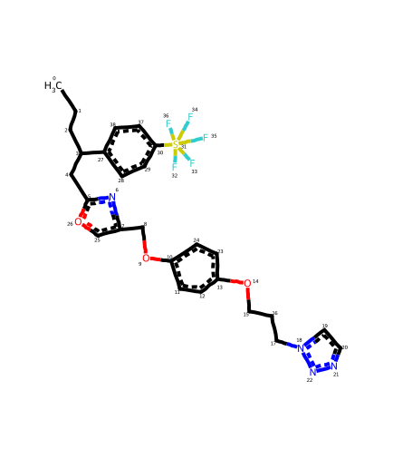 CCCC(Cc1nc(COc2ccc(OCCCn3ccnn3)cc2)co1)c1ccc(S(F)(F)(F)(F)F)cc1